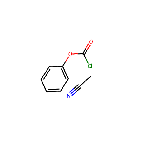 CC#N.O=C(Cl)Oc1ccccc1